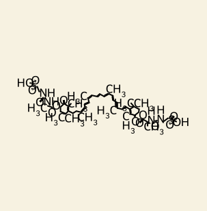 CC(C=CC=C(C)C=CC1=C(C)C(=O)C(OC(=O)C(C)NC(=O)NCCS(=O)(=O)O)CC1(C)C)=CC=CC=C(C)C=CC=C(C)CCC1=C(C)C(=O)C(OC(=O)C(C)NC(=O)NCCS(=O)(=O)O)CC1(C)C